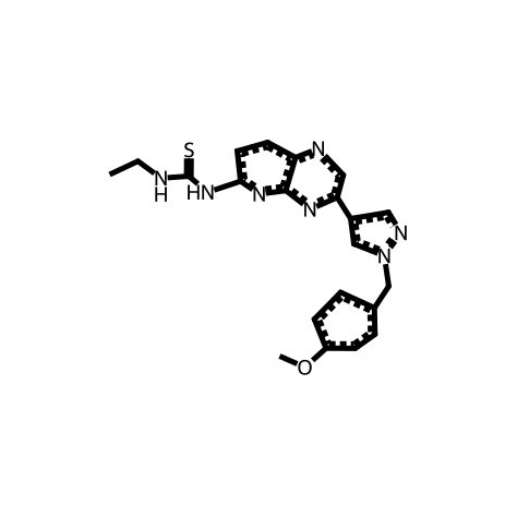 CCNC(=S)Nc1ccc2ncc(-c3cnn(Cc4ccc(OC)cc4)c3)nc2n1